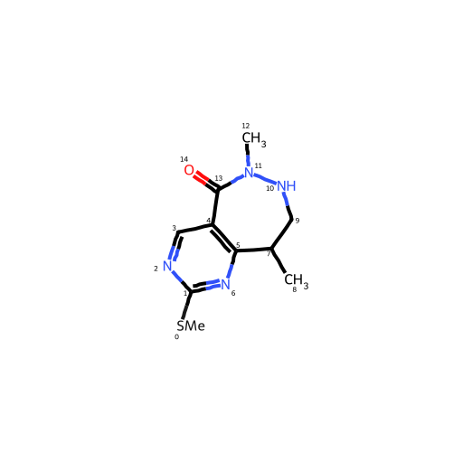 CSc1ncc2c(n1)C(C)CNN(C)C2=O